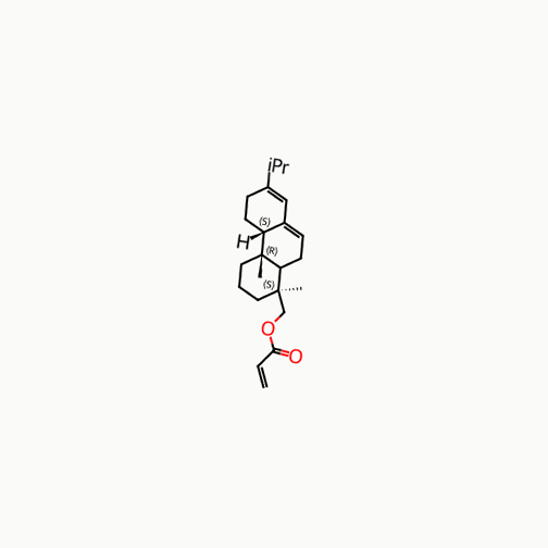 C=CC(=O)OC[C@@]1(C)CCC[C@@]2(C)C1CC=C1C=C(C(C)C)CC[C@H]12